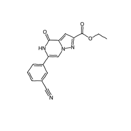 CCOC(=O)c1cc2c(=O)[nH]c(-c3cccc(C#N)c3)cn2n1